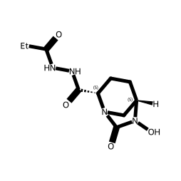 CCC(=O)NNC(=O)[C@@H]1CC[C@H]2CN1C(=O)N2O